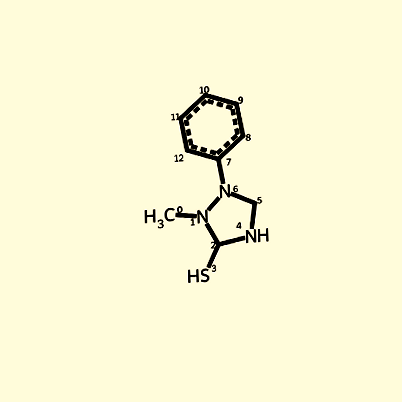 CN1C(S)NCN1c1ccccc1